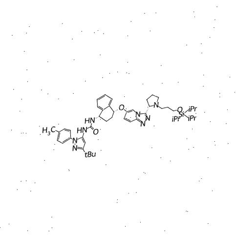 Cc1ccc(-n2nc(C(C)(C)C)cc2NC(=O)N[C@H]2CC[C@@H](Oc3ccc4nnc([C@@H]5CCCN5CCCO[Si](C(C)C)(C(C)C)C(C)C)n4c3)c3ccccc32)cc1